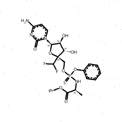 CC(C)OC(=O)[C@H](C)NP(=S)(OC[C@@]1(C(F)F)O[C@@H](n2ccc(N)nc2=O)[C@@H](O)[C@@H]1O)Oc1ccccc1